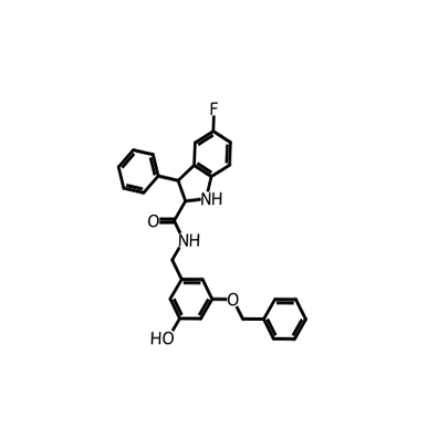 O=C(NCc1cc(O)cc(OCc2ccccc2)c1)C1Nc2ccc(F)cc2C1c1ccccc1